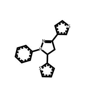 c1ccc(N2N=C(c3ccsc3)CC2c2cccs2)cc1